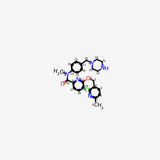 Cc1ccc(COc2nc(C(=O)N(C)c3ccc(CN4CCNCC4)cc3)ccc2Cl)cn1